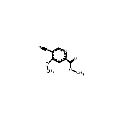 COC(=O)c1cc(OC)c(C#N)cn1